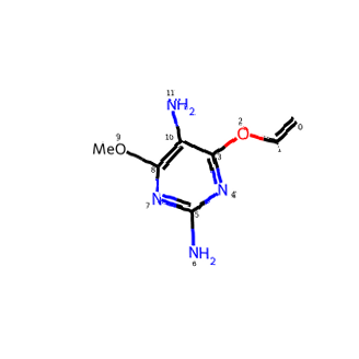 C=COc1nc(N)nc(OC)c1N